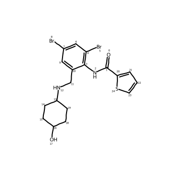 O=C(Nc1c(Br)cc(Br)cc1CNC1CCC(O)CC1)c1cccs1